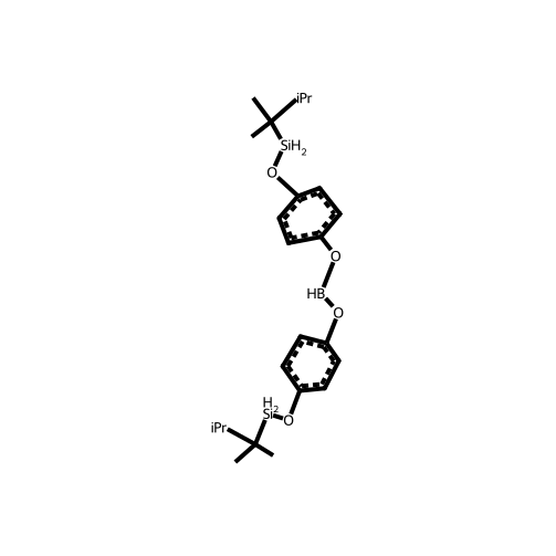 CC(C)C(C)(C)[SiH2]Oc1ccc(OBOc2ccc(O[SiH2]C(C)(C)C(C)C)cc2)cc1